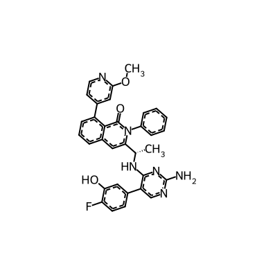 COc1cc(-c2cccc3cc([C@H](C)Nc4nc(N)ncc4-c4ccc(F)c(O)c4)n(-c4ccccc4)c(=O)c23)ccn1